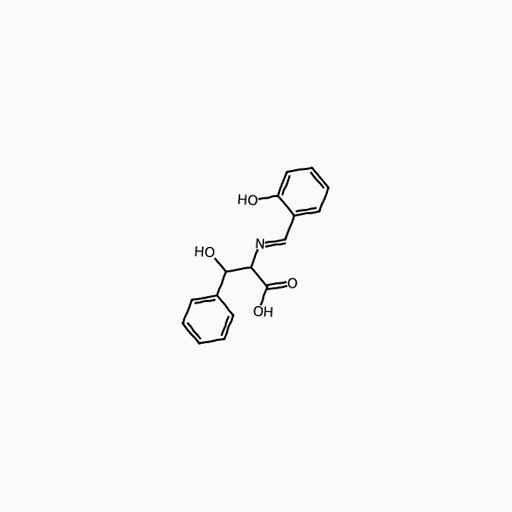 O=C(O)C(N=Cc1ccccc1O)C(O)c1ccccc1